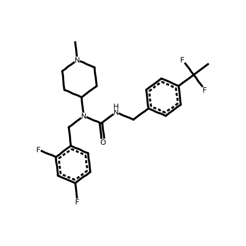 CN1CCC(N(Cc2ccc(F)cc2F)C(=O)NCc2ccc(C(C)(F)F)cc2)CC1